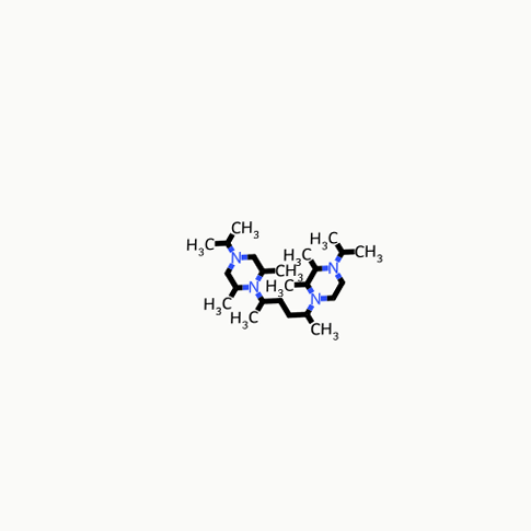 CC(C)N1CC(C)N(C(C)CCC(C)N2CCN(C(C)C)C(C)C2C)C(C)C1